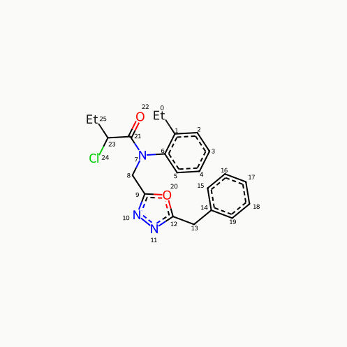 CCc1ccccc1N(Cc1nnc(Cc2ccccc2)o1)C(=O)C(Cl)CC